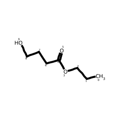 CCCOC(=O)CCCO